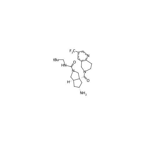 CC(C)(C)CNC(=O)N1C[C@@H]2C[C@@H](N)C[C@]2(C(=O)N2CCc3ncc(C(F)(F)F)cc3C2)C1